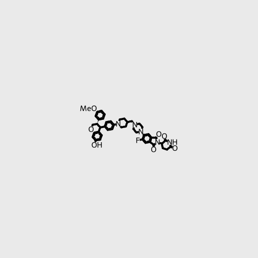 COc1cccc([C@H]2COc3cc(O)ccc3C2c2ccc(N3CCC(CN4CCN(c5cc6c(cc5F)C(=O)N(C5CCC(=O)NC5=O)C6=O)CC4)CC3)cc2)c1